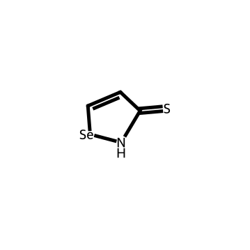 S=c1cc[se][nH]1